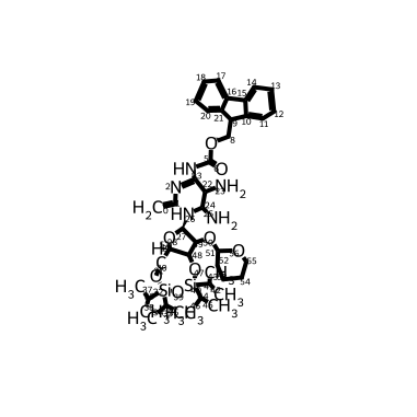 C=C/N=C(/NC(=O)OCC1c2ccccc2-c2ccccc21)C(N)C(N)N[C@@H]1O[C@@H]2CO[Si](C(C)C)(C(C)C)O[Si](C(C)C)(C(C)C)OC2C1OC1CCCCO1